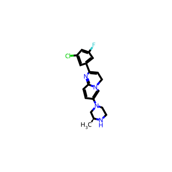 C[C@H]1CN(C2=CN3CC=C(c4cc(F)cc(Cl)c4)N=C3C=C2)CCN1